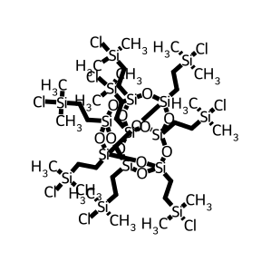 C[Si](C)(Cl)CC[Si]12O[Si]3(CC[Si](C)(C)Cl)O[Si]4(CC[Si](C)(C)Cl)O[Si](CC[Si](C)(C)Cl)(O1)O[Si]1(CC[Si](C)(C)Cl)O[Si](CC[Si](C)(C)Cl)(O2)O[Si](CC[Si](C)(C)Cl)(O3)O[Si](CC[Si](C)(C)Cl)(O4)O1